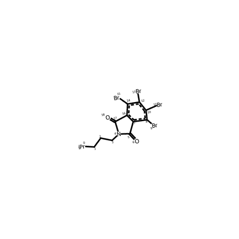 CC(C)CCCN1C(=O)c2c(Br)c(Br)c(Br)c(Br)c2C1=O